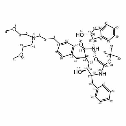 COCCN(CCCc1ccc(C[C@H](C[C@H](O)[C@H](Cc2ccccc2)NC(=O)OC(C)(C)C)C(=O)N[C@H]2c3ccccc3C[C@H]2O)cc1)CCOC